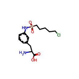 NC(Cc1cccc(NS(=O)(=O)CCCCCCl)c1)C(=O)O